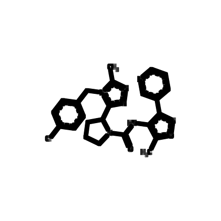 Cc1onc(-c2cccnc2)c1NC(=O)N1CCCC1c1nnc(C)n1Cc1ccc(Cl)cc1